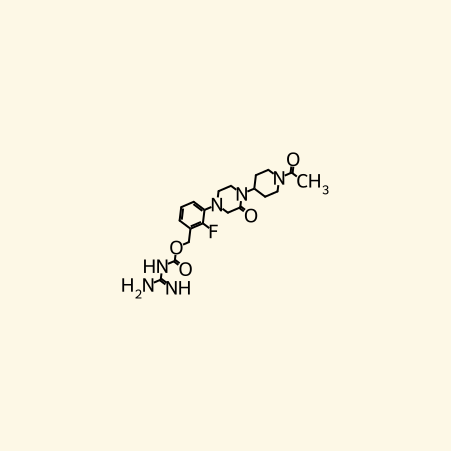 CC(=O)N1CCC(N2CCN(c3cccc(COC(=O)NC(=N)N)c3F)CC2=O)CC1